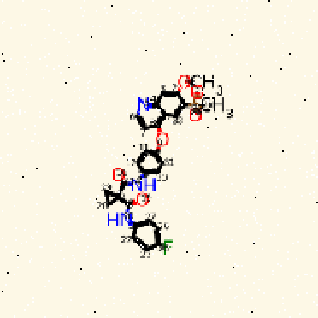 COc1cc2nccc(Oc3ccc(NC(=O)C4(C(=O)Nc5ccc(F)cc5)CC4)cc3)c2cc1S(C)(=O)=O